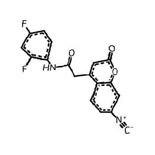 [C-]#[N+]c1ccc2c(CC(=O)Nc3ccc(F)cc3F)cc(=O)oc2c1